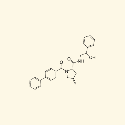 C=C1C[C@@H](C(=O)NCC(O)c2ccccc2)N(C(=O)c2ccc(-c3ccccc3)cc2)C1